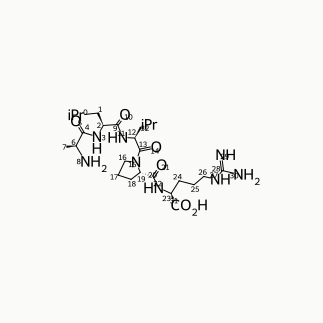 CC(C)C[C@H](NC(=O)[C@H](C)N)C(=O)N[C@H](C(=O)N1CCC[C@H]1C(=O)N[C@@H](CCCNC(=N)N)C(=O)O)C(C)C